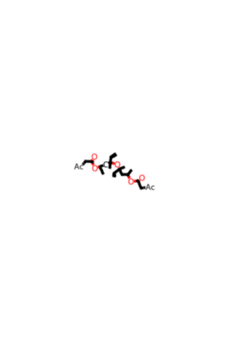 C=CC(C)(CC(C)OC(=O)CC(C)=O)OC(C)(C=C)CC(C)OC(=O)CC(C)=O